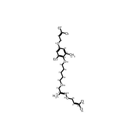 CCc1cc(OCC=C(Cl)Cl)cc(C)c1OCCCCCOCC(C)=NOCC=C(Cl)Cl